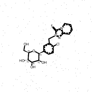 OC[C@H]1O[C@@H](c2ccc(Cl)c(Cn3nc4ccccn4c3=S)c2)[C@@H](O)[C@@H](O)[C@@H]1O